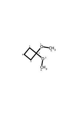 COC1(OC)CCC1